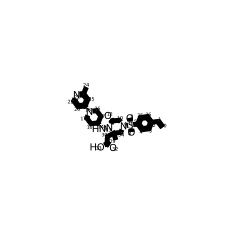 C=Cc1ccc(S(=O)(=O)N2CC(=O)N(NC3CCN(c4ccnc(C)c4)CC3)C(C)(CC(=O)O)C2)cc1